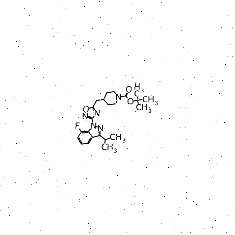 CC(C)c1nn(-c2noc(CC3CCN(C(=O)OC(C)(C)C)CC3)n2)c2c(F)cccc12